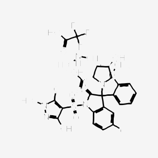 CNC.COc1ccccc1C1(N2C[C@H](O)C[C@H]2C(=O)O)C(=O)N(S(=O)(=O)c2c(C)nn(C)c2Cl)c2ccc(Cl)cc21.O=C(O)C(F)(F)F